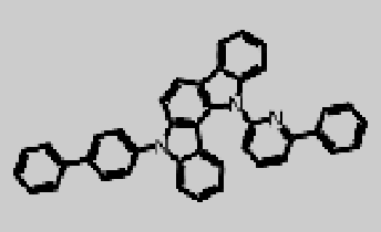 c1ccc(-c2ccc(-n3c4ccccc4c4c3ccc3c5ccccc5n(-c5cccc(-c6ccccc6)n5)c34)cc2)cc1